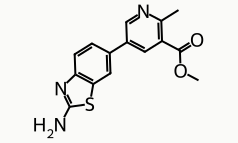 COC(=O)c1cc(-c2ccc3nc(N)sc3c2)cnc1C